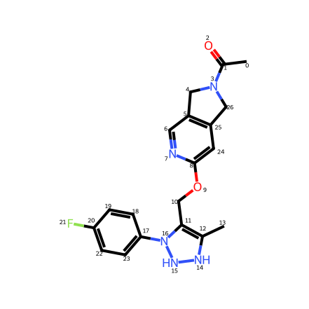 CC(=O)N1Cc2cnc(OCC3=C(C)NNN3c3ccc(F)cc3)cc2C1